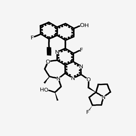 C#Cc1c(F)ccc2cc(O)cc(-c3nc4c5c(nc(OC[C@@]67CCCN6C[C@H](F)C7)nc5c3F)N(C[C@@H](C)O)[C@@H](C)CO4)c12